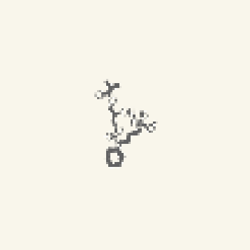 C=C(C)C(=O)OCC(O)COC(=O)N(CCC[Si](OC)(OC)OC)c1ccccc1